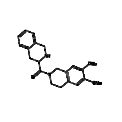 COc1cc2c(cc1OC)CN(C(=O)C1Cc3ccccc3CN1)CC2